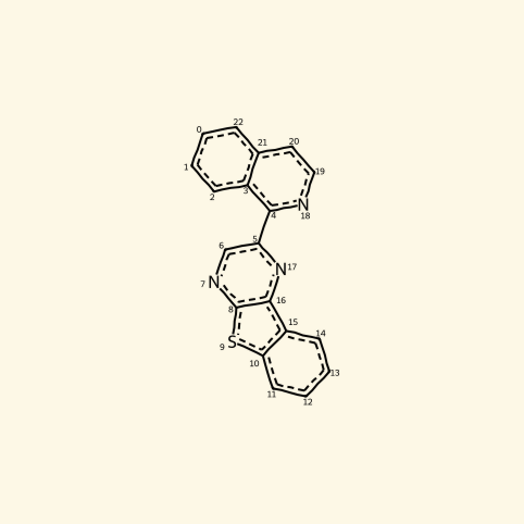 c1ccc2c(-c3cnc4sc5ccccc5c4n3)nccc2c1